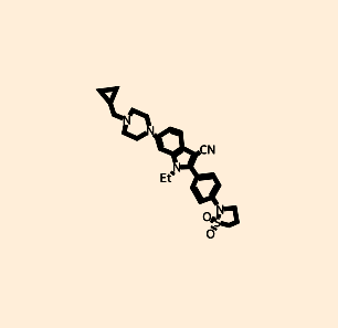 CCn1c(-c2ccc(N3CCCS3(=O)=O)cc2)c(C#N)c2ccc(N3CCN(CC4CC4)CC3)cc21